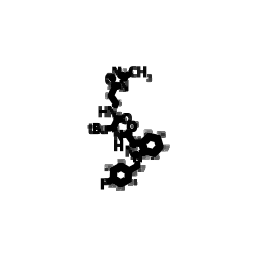 Cc1noc(CCNC(=O)C(NC(=O)c2nn(Cc3ccc(F)cc3)c3ccccc23)C(C)(C)C)n1